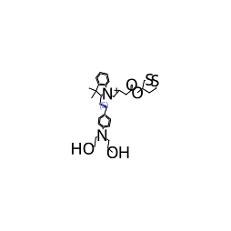 CC1(C)C(/C=C/c2ccc(N(CCO)CCO)cc2)=[N+](CCCC(=O)OC2CCSSC2)c2ccccc21